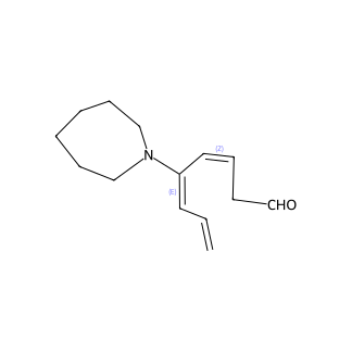 C=C/C=C(\C=C/CC=O)N1CCCCCC1